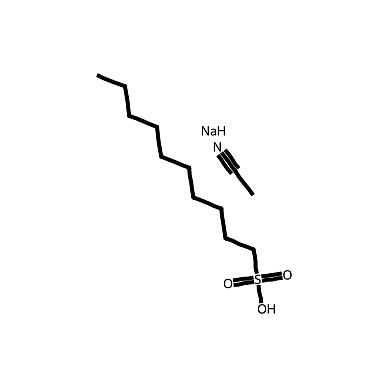 CC#N.CCCCCCCCCCS(=O)(=O)O.[NaH]